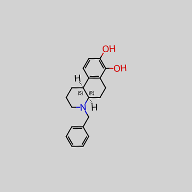 Oc1ccc2c(c1O)CC[C@@H]1[C@H]2CCCN1Cc1ccccc1